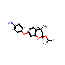 CC(C)OC1(C)CC(C)(C)c2ccc(Oc3ccc(N)cc3)cc2O1